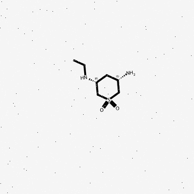 CCN[C@@H]1C[C@H](N)CS(=O)(=O)C1